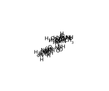 C=C(/C=C\C=C/C)[C@H](NC(=O)[C@@H]1CC[C@@H]2CC[C@H](CCNCc3ccccc3)[C@H](NC(=O)[C@H](C)NC)C(=O)N21)C(=O)NCCCCNc1c(NCCCCNC(=O)[C@@H](NC(=O)[C@@H]2CC[C@@H]3CC[C@H](CCNCc4ccccc4)[C@H](NC(=O)[C@H](C)NC)C(=O)N32)c2ccccc2)c(=O)c1=O